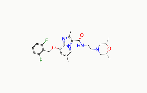 Cc1cc(OCc2c(F)cccc2F)c2nc(C)c(C(=O)NCCN3C[C@@H](C)O[C@@H](C)C3)n2c1